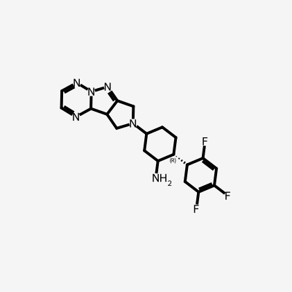 NC1CC(N2CC3=NN4N=CC=NC4C3C2)CC[C@@H]1C1CC(F)=C(F)C=C1F